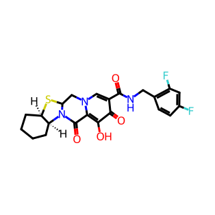 O=C(NCc1ccc(F)cc1F)c1cn2c(c(O)c1=O)C(=O)N1C(C2)S[C@@H]2CCCC[C@@H]21